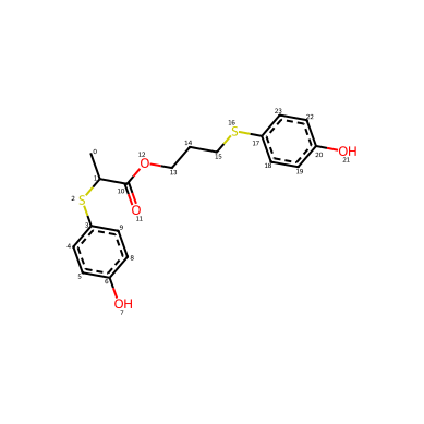 CC(Sc1ccc(O)cc1)C(=O)OCCCSc1ccc(O)cc1